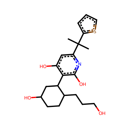 CC(C)(c1cc(O)c(C2CC(O)CCC2CCCO)c(O)n1)c1cccs1